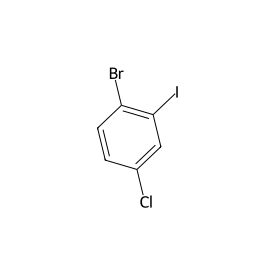 Clc1ccc(Br)c(I)c1